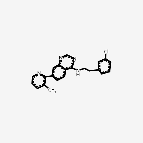 FC(F)(F)c1cccnc1-c1ccc2c(NCCc3cccc(Cl)c3)ncnc2c1